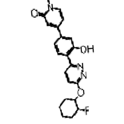 Cn1ccc(-c2ccc(-c3ccc(O[C@@H]4CCCC[C@@H]4F)nn3)c(O)c2)cc1=O